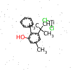 Cc1cc(O)c(-c2ccccc2)c(C(C)(C)C)c1.[Cl][Ti][Cl]